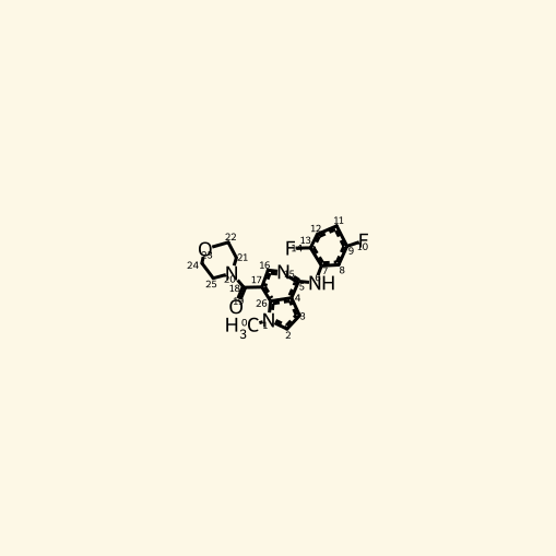 Cn1ccc2c(Nc3cc(F)ccc3F)ncc(C(=O)N3CCOCC3)c21